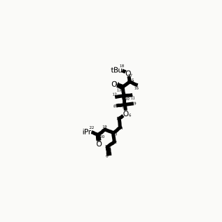 C=CCC(CCOC(C)(C)C(C)(C)C(=O)C(C)OC(C)(C)C)CC(=O)C(C)C